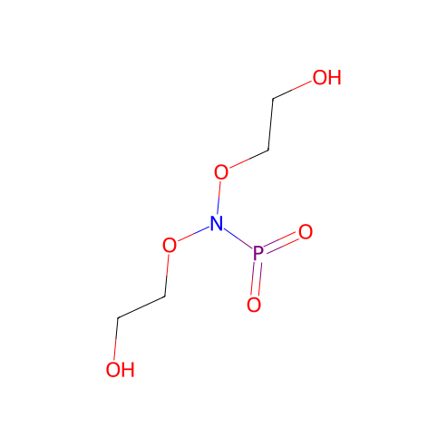 O=P(=O)N(OCCO)OCCO